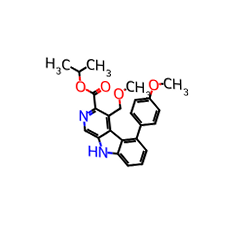 COCc1c(C(=O)OC(C)C)ncc2[nH]c3cccc(-c4ccc(OC)cc4)c3c12